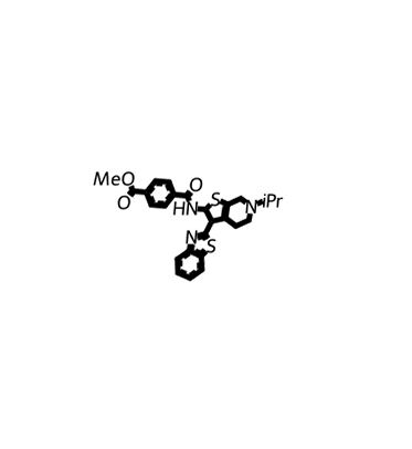 COC(=O)c1ccc(C(=O)NC2SC3=C(CCN(C(C)C)C3)C2c2nc3ccccc3s2)cc1